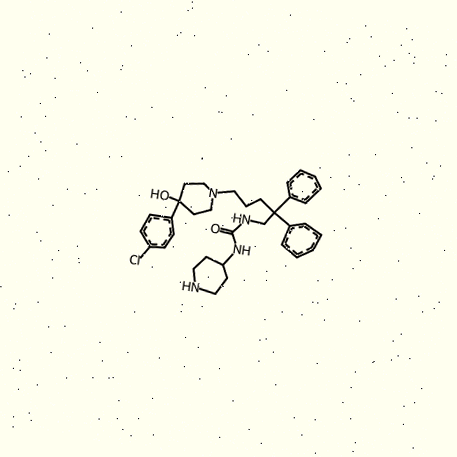 O=C(NCC(CCCN1CCC(O)(c2ccc(Cl)cc2)CC1)(c1ccccc1)c1ccccc1)NC1CCNCC1